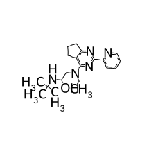 CCN(CC(O)NC(C)(C)C)c1nc(-c2ccccn2)nc2c1CCC2